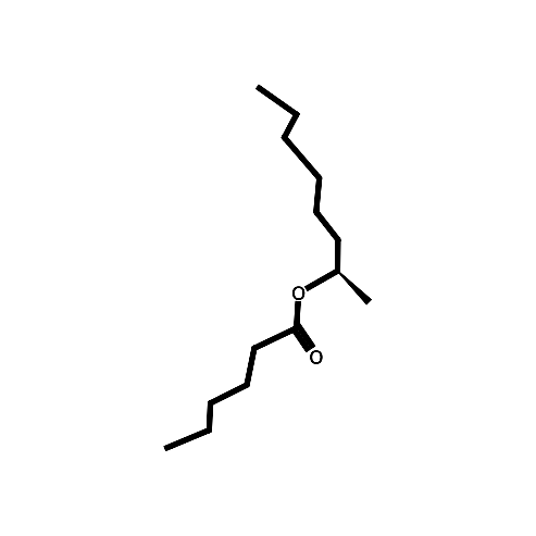 CCCCCC[C@@H](C)OC(=O)CCCCC